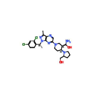 Cc1nn([C@H](C)c2ccc(Cl)cc2Cl)c2nc(N3CC[C@H](N4CCCC4CO)[C@H](C(N)O)C3)cnc12